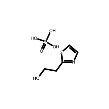 O=P(O)(O)O.OCCc1nccs1